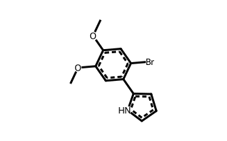 COc1cc(Br)c(-c2ccc[nH]2)cc1OC